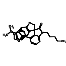 CCCCCN1C(=O)C2(COc3cc4c(cc32)OCO4)c2c(-c3ccc(N(C)C)cc3)cccc21